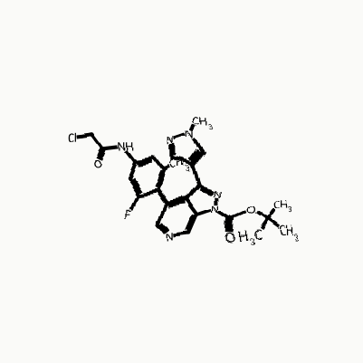 Cc1cc(NC(=O)CCl)cc(F)c1-c1cncc2c1c(-c1cnn(C)c1)nn2C(=O)OC(C)(C)C